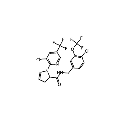 O=C(NCc1ccc(Cl)c(OC(F)(F)F)c1)C1CC=CN1c1ncc(C(F)(F)F)cc1Cl